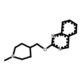 CN1CCC(COc2ncc3ccccc3n2)CC1